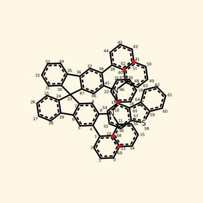 c1ccc(-c2cc3c(cc2N(c2ccccc2)c2ccccc2)C2(c4ccccc4-3)c3ccccc3-c3cc(-c4ccccc4)c(N(c4ccccc4)c4cccc5sc6ccccc6c45)cc32)cc1